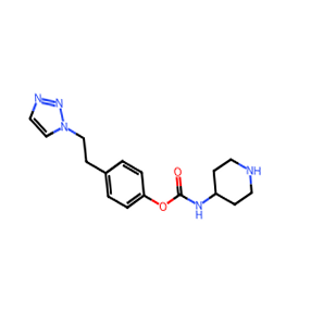 O=C(NC1CCNCC1)Oc1ccc(CCn2ccnn2)cc1